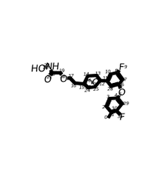 Cc1ccc(Oc2cc(F)cc(C34CCC(CCOCC(=O)NO)(CC3)CO4)c2)cc1F